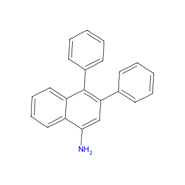 Nc1cc(-c2ccccc2)c(-c2ccccc2)c2ccccc12